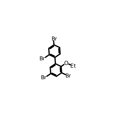 [CH2]COc1c(Br)cc(Br)cc1-c1ccc(Br)cc1Br